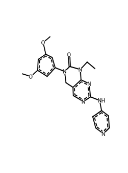 CCN1C(=O)N(c2cc(OC)cc(OC)c2)Cc2cnc(Nc3ccncc3)nc21